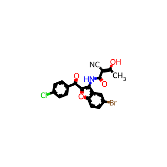 C/C(O)=C(/C#N)C(=O)Nc1c(C(=O)c2ccc(Cl)cc2)oc2ccc(Br)cc12